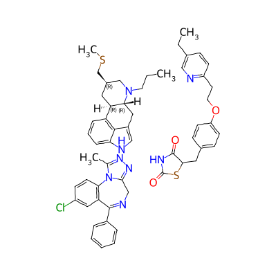 CCCN1C[C@H](CSC)C[C@@H]2c3cccc4[nH]cc(c34)C[C@H]21.CCc1ccc(CCOc2ccc(CC3SC(=O)NC3=O)cc2)nc1.Cc1nnc2n1-c1ccc(Cl)cc1C(c1ccccc1)=NC2